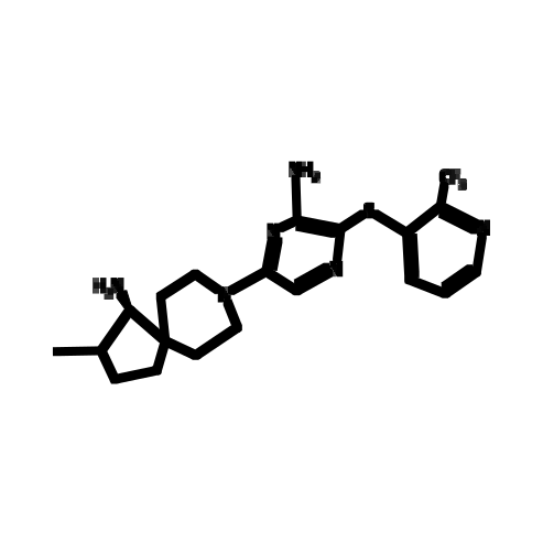 CC1CCC2(CCN(c3cnc(Sc4cccnc4C(F)(F)F)c(N)n3)CC2)[C@@H]1N